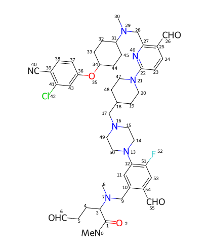 CNC(=O)C(CCC=O)N(C)Cc1cc(N2CCN(CC3CCN(c4ccc(C=O)c(CN(C)C5CCC(Oc6ccc(C#N)c(Cl)c6)CC5)n4)CC3)CC2)c(F)cc1C=O